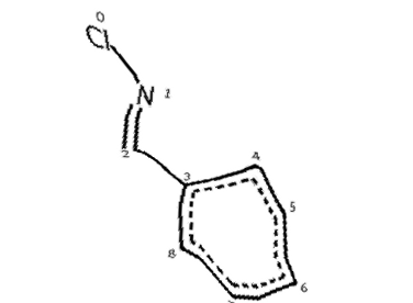 ClN=Cc1ccccc1